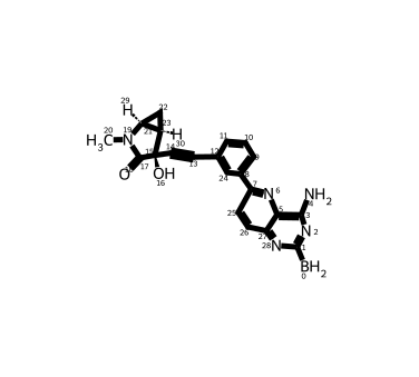 Bc1nc(N)c2nc(-c3cccc(C#C[C@]4(O)C(=O)N(C)[C@H]5C[C@H]54)c3)ccc2n1